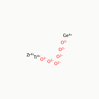 [Ge+4].[O-2].[O-2].[O-2].[O-2].[O-2].[O-2].[Ti+4].[Zr+4]